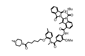 COc1cc(C(=O)N(C)c2ccc(C)cc2OCCCCCC(=O)N2CCN(C)CC2)ccc1NC(=O)c1cccc2c1c(C)c(N1C(=O)c3ccccc3C1=O)n2C(=O)OC(C)(C)C